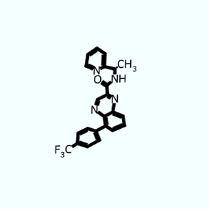 C[C@H](NC(=O)c1cnc2c(-c3ccc(C(F)(F)F)cc3)cccc2n1)c1ccccn1